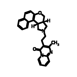 Cc1nc2ccccn2c(=O)c1CCN1C[C@H]2COc3ccc4ccccc4c3[C@H]2C1